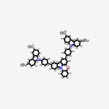 CC(C)(C)c1ccc2c(c1)c1cc(C(C)(C)C)ccc1n2-c1ccc(-c2ccc3c(c2)c2cc(-c4ccc(-n5c6ccc(C(C)(C)C)cc6c6cc(C(C)(C)C)ccc65)cc4)cc4c2n3-c2ccccc2O4)cc1